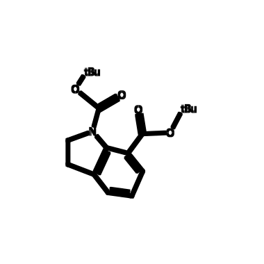 CC(C)(C)OC(=O)c1cccc2c1N(C(=O)OC(C)(C)C)CC2